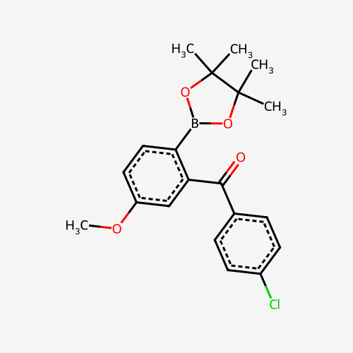 COc1ccc(B2OC(C)(C)C(C)(C)O2)c(C(=O)c2ccc(Cl)cc2)c1